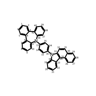 c1ccc2c(c1)-c1ccccc1N(c1ccc(-n3c4ccccc4c4c5ccccc5ccc43)cc1)c1ccccc1-2